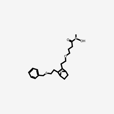 CN(O)C(=O)CCCOCCC1C2CCC(O2)C1CCSCc1ccccc1